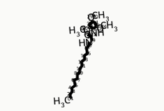 CCCCCCCCC=CCCCCCCCCNCC(=O)Nc1c(OC)cc(OC)cc1OC